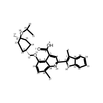 Cc1c(-c2cc(C(=O)O)c3c(OC[C@H]4CC[C@](C)(OC(C)C)CC4)ccc(C)c3n2)sc2ccccc12